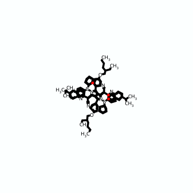 CCCCC(CC)COc1ccc(-c2c3/c(=C(\C#N)c4ccc5cc(C(C)(C)C)ccc5n4)n(B(c4ccccc4)c4ccccc4)c(-c4ccc(OCC(CC)CCCC)cc4)c3/c(=C(\C#N)c3ccc4cc(C(C)C)ccc4n3)n2B(c2ccccc2)c2ccccc2)cc1